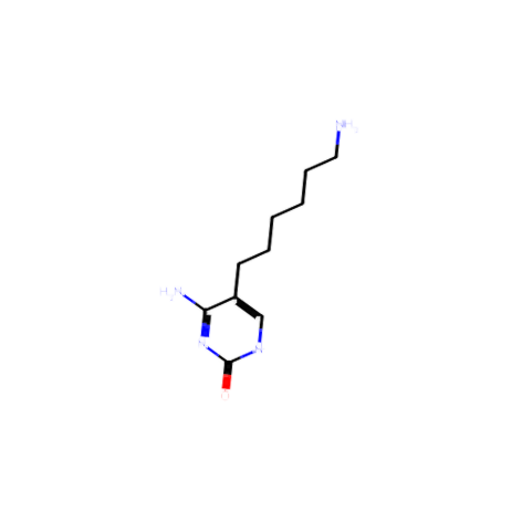 NCCCCCCC1=C[N]C(=O)N=C1N